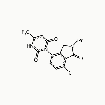 CC(C)N1Cc2c(-n3c(=O)cc(C(F)(F)F)[nH]c3=O)ccc(Cl)c2C1=O